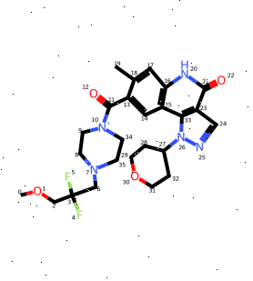 COCC(F)(F)CN1CCN(C(=O)c2cc3c(cc2C)[nH]c(=O)c2cnn(C4CCOCC4)c23)CC1